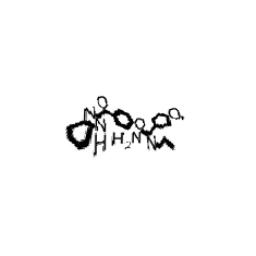 C=C/C=N\C(C1=CC[C@H](OC)CC1)=C(/N)Oc1ccc(C(=O)c2nc3ccccc3[nH]2)cc1